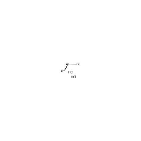 C[CH](C)[Al][CH](C)C.Cl.Cl